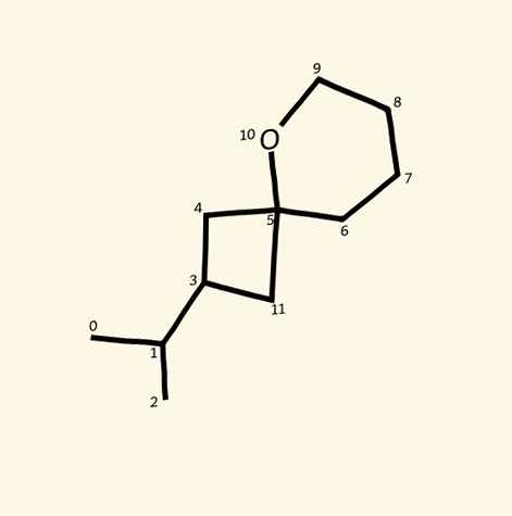 CC(C)C1CC2(CCCCO2)C1